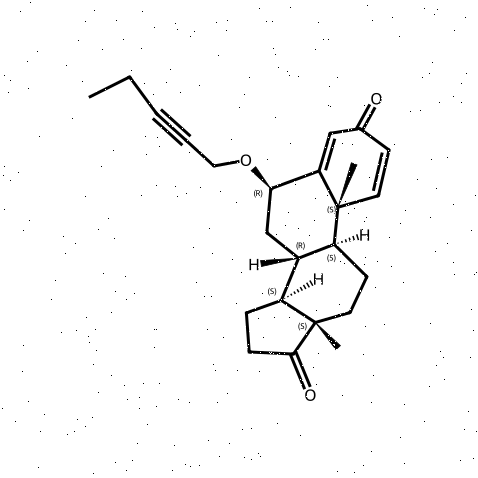 CCC#CCO[C@@H]1C[C@@H]2[C@H](CC[C@]3(C)C(=O)CC[C@@H]23)[C@@]2(C)C=CC(=O)C=C12